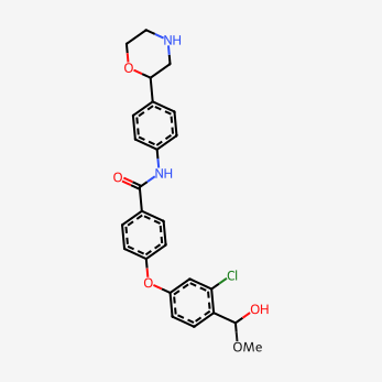 COC(O)c1ccc(Oc2ccc(C(=O)Nc3ccc(C4CNCCO4)cc3)cc2)cc1Cl